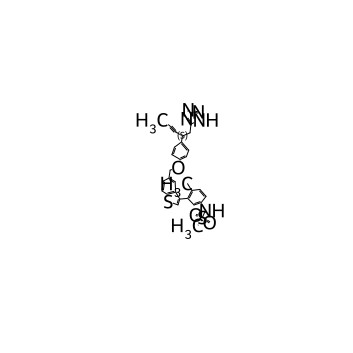 CC#C[C@@H](Cc1nnn[nH]1)c1ccc(OCc2ccc3scc(-c4cc(NS(C)(=O)=O)ccc4C)c3c2)cc1